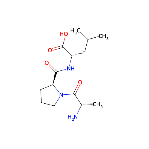 CC(C)C[C@H](NC(=O)[C@@H]1CCCN1C(=O)[C@H](C)N)C(=O)O